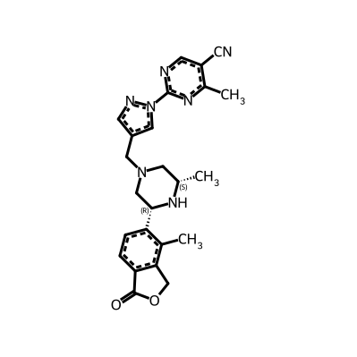 Cc1nc(-n2cc(CN3C[C@@H](c4ccc5c(c4C)COC5=O)N[C@@H](C)C3)cn2)ncc1C#N